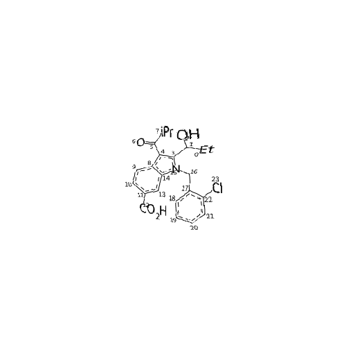 CCC(O)c1c(C(=O)C(C)C)c2ccc(C(=O)O)cc2n1Cc1ccccc1Cl